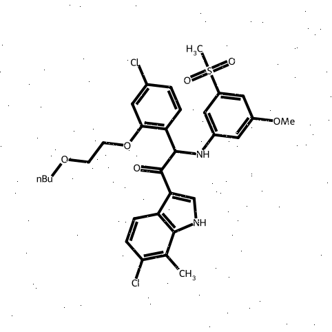 CCCCOCCOc1cc(Cl)ccc1C(Nc1cc(OC)cc(S(C)(=O)=O)c1)C(=O)c1c[nH]c2c(C)c(Cl)ccc12